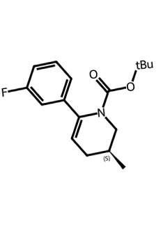 C[C@H]1CC=C(c2cccc(F)c2)N(C(=O)OC(C)(C)C)C1